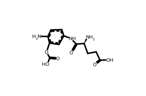 Nc1ccc(NC(=O)[C@@H](N)CCC(=O)O)cc1OC(=O)O